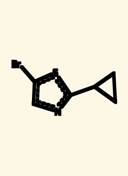 Brc1cnc(C2CC2)s1